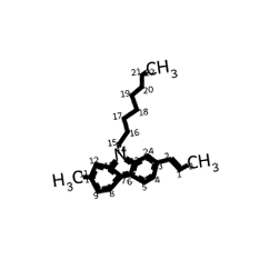 C/C=C/c1ccc2c3ccc(C)cc3n(CCCCCCCC)c2c1